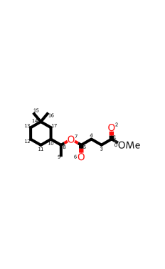 COC(=O)CCC(=O)OC(C)C1CCCC(C)(C)C1